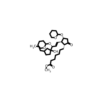 CCCC1CCC(C)([C@@H](C=C[C@H]2[C@H](OC3CCCCO3)CC(=O)[C@@H]2CCCCCCC(=O)OC)OC2CCCCO2)C1